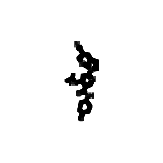 CC(C)Nc1cc(-n2ccc3cc(C#N)cnc32)ncc1C(=O)NC1CCC(=O)CC1